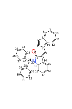 O=C1/C(=C\c2ccc3cccccc2-3)c2ccccc2N1C(c1ccccc1)c1ccccc1